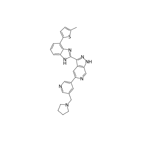 Cc1ccc(-c2cccc3[nH]c(-c4n[nH]c5cnc(-c6cncc(CN7CCCC7)c6)cc45)nc23)s1